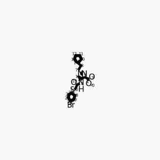 COC(=O)c1nn(CCc2ccccc2)cc1NC(=O)CSc1ccc(Br)cc1